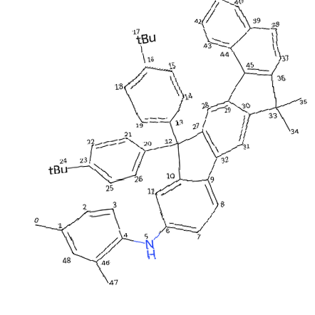 Cc1ccc(Nc2ccc3c(c2)C(c2ccc(C(C)(C)C)cc2)(c2ccc(C(C)(C)C)cc2)c2cc4c(cc2-3)C(C)(C)c2ccc3ccccc3c2-4)c(C)c1